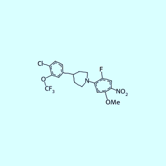 COc1cc(N2CCC(c3ccc(Cl)c(OC(F)(F)F)c3)CC2)c(F)cc1[N+](=O)[O-]